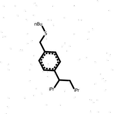 CCCCSCc1ccc(C(CC(C)C)C(C)C)cc1